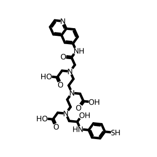 O=C(O)CN(CCN(CC(=O)O)CC(=O)Nc1ccc2ncccc2c1)CCN(CC(=O)O)CC(O)Nc1ccc(S)cc1